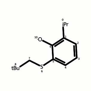 CC(C)c1cccc(SCC(C)(C)C)c1[O]